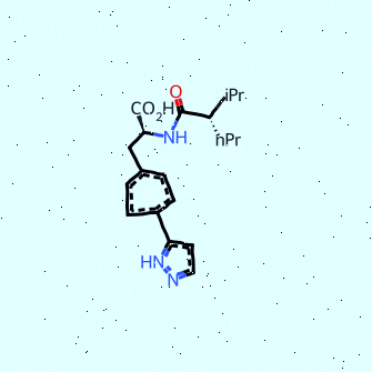 CCC[C@H](C(=O)N[C@@H](Cc1ccc(-c2ccn[nH]2)cc1)C(=O)O)C(C)C